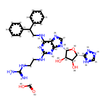 N=C(N)NCCNc1nc(NCC(c2ccccc2)c2ccccc2)c2ncn([C@@H]3O[C@H](c4nnc[nH]4)[C@@H](O)[C@H]3O)c2n1.O=CO